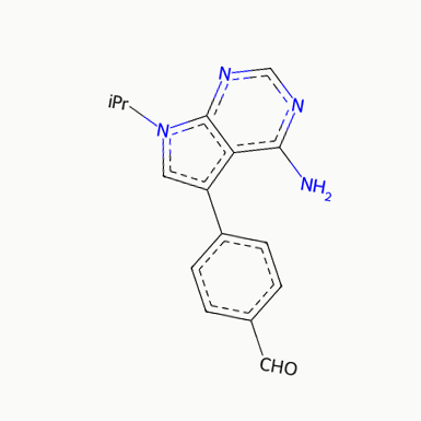 CC(C)n1cc(-c2ccc(C=O)cc2)c2c(N)ncnc21